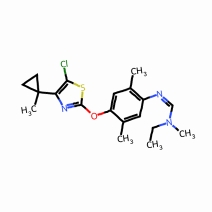 CCN(C)/C=N\c1cc(C)c(Oc2nc(C3(C)CC3)c(Cl)s2)cc1C